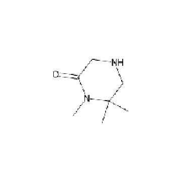 CN1C(=O)CNCC1(C)C